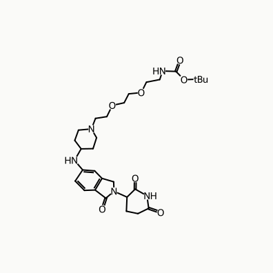 CC(C)(C)OC(=O)NCCOCCOCCN1CCC(Nc2ccc3c(c2)CN(C2CCC(=O)NC2=O)C3=O)CC1